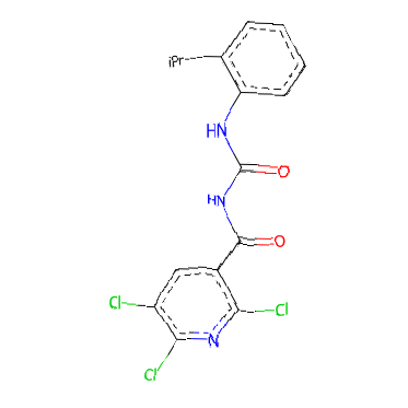 CC(C)c1ccccc1NC(=O)NC(=O)c1cc(Cl)c(Cl)nc1Cl